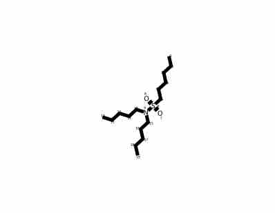 CCCCCCS(=O)(=O)N(CCCCC)CCCCC